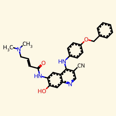 CN(C)C/C=C/C(=O)Nc1cc2c(Nc3ccc(OCc4ccccc4)cc3)c(C#N)cnc2cc1O